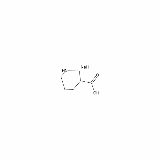 O=C(O)C1CCCNC1.[NaH]